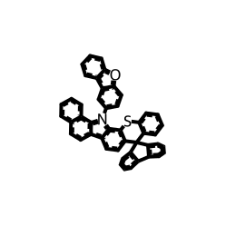 c1ccc2c(c1)Sc1c(ccc3c4ccc5ccccc5c4n(-c4ccc5oc6ccccc6c5c4)c13)C21c2ccccc2-c2ccccc21